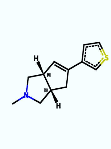 CN1C[C@H]2CC(c3ccsc3)=C[C@H]2C1